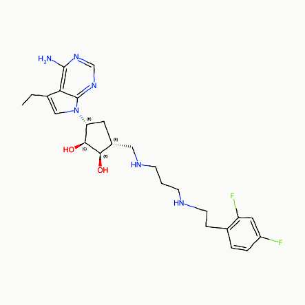 CCc1cn([C@@H]2C[C@H](CNCCCNCCc3ccc(F)cc3F)[C@@H](O)[C@H]2O)c2ncnc(N)c12